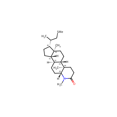 CSCC(C)[C@H]1CC[C@H]2[C@@H]3CC[C@H]4N(C)C(=O)CC[C@]4(C)[C@H]3CC[C@]12C